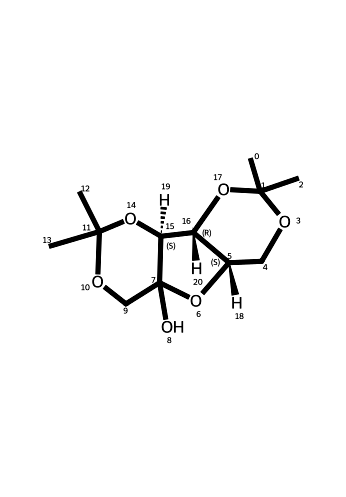 CC1(C)OC[C@@H]2OC3(O)COC(C)(C)O[C@H]3[C@@H]2O1